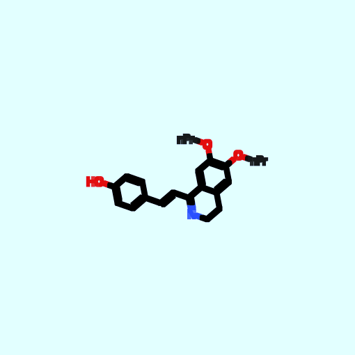 CCCOc1cc2c(cc1OCCC)C(/C=C/c1ccc(O)cc1)=NCC2